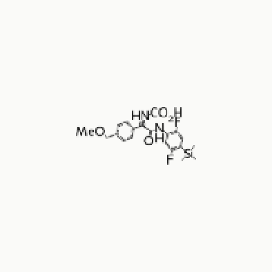 COCc1ccc([C@@H](NC(=O)O)C(=O)Nc2cc(F)c([Si](C)(C)C)cc2F)cc1